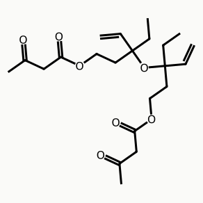 C=CC(CC)(CCOC(=O)CC(C)=O)OC(C=C)(CC)CCOC(=O)CC(C)=O